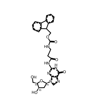 O=C(CCNC(=O)OCC1c2ccccc2-c2ccccc21)Nc1nc2c(ncn2[C@H]2C[C@@H](O)[C@@H](CO)O2)c(=O)[nH]1